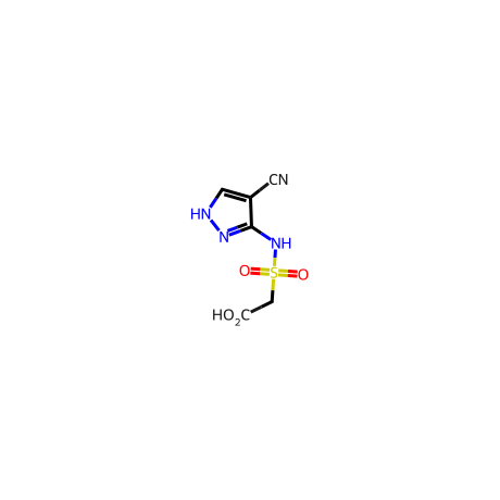 N#Cc1c[nH]nc1NS(=O)(=O)CC(=O)O